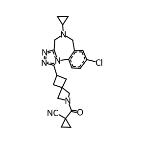 N#CC1(C(=O)N2CC3(CC(c4nnc5n4-c4ccc(Cl)cc4CN(C4CC4)C5)C3)C2)CC1